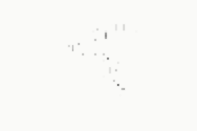 CC(=O)Nc1cccc(-c2nc(N3[C@@H](C)CN(C(=O)OC(C)(C)C)C[C@@H]3C)sc2-c2ccnc(Cl)n2)c1F